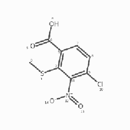 CSc1c(C(=O)O)ccc(Cl)c1[N+](=O)[O-]